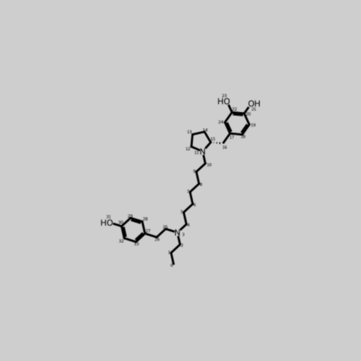 CCCN(CCCCCCCN1CCC[C@@H]1Cc1ccc(O)c(O)c1)CCc1ccc(O)cc1